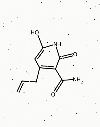 C=CCc1cc(O)[nH]c(=O)c1C(N)=O